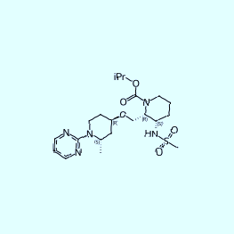 CC(C)OC(=O)N1CCC[C@H](NS(C)(=O)=O)[C@@H]1CO[C@@H]1CCN(c2ncccn2)[C@@H](C)C1